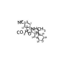 Cn1c(C(=O)Nc2ccc(C#N)cc2C(=O)O)cc2ccccc21